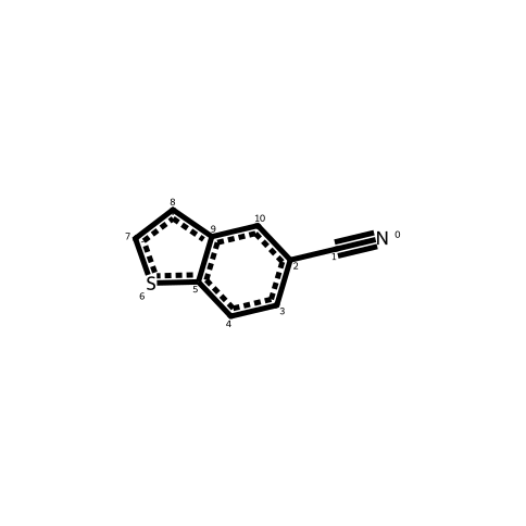 N#Cc1ccc2sc[c]c2c1